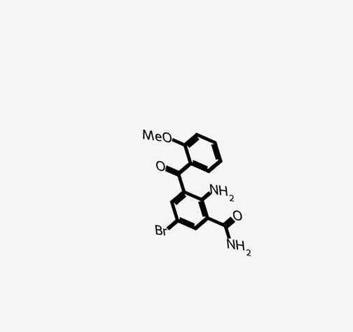 COc1ccccc1C(=O)c1cc(Br)cc(C(N)=O)c1N